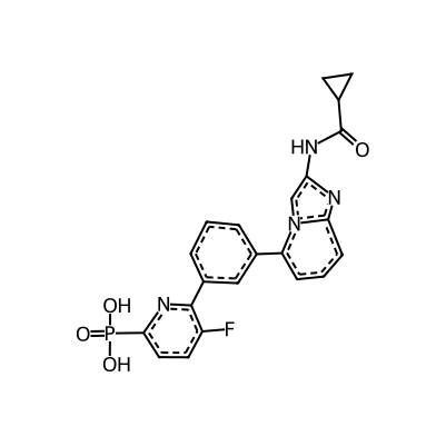 O=C(Nc1cn2c(-c3cccc(-c4nc(P(=O)(O)O)ccc4F)c3)cccc2n1)C1CC1